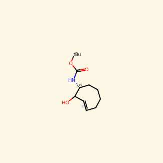 CC(C)(C)OC(=O)N[C@@H]1CCCC/C=C/C1O